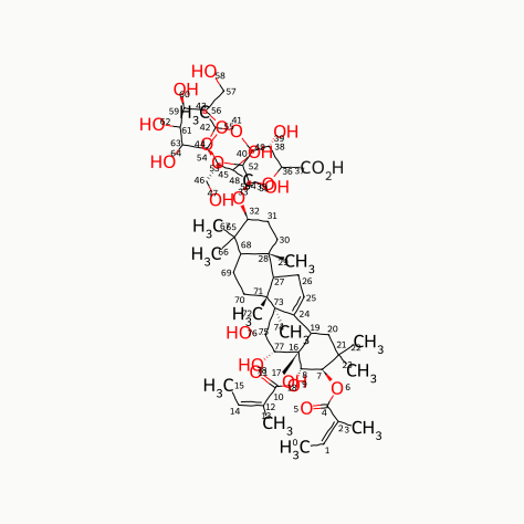 C/C=C(/C)C(=O)O[C@H]1[C@H](OC(=O)/C(C)=C\C)[C@@]2(CO)C(CC1(C)C)C1=CCC3[C@@]4(C)CC[C@H](O[C@@H]5OC(C(=O)O)[C@@H](O)C(OC(C)O[C@@H](CO)C(O)CO)C5O[C@@H]5OC(CO)[C@H](O)C(O)C5O)C(C)(C)C4CC[C@@]3(C)[C@]1(C)[C@@H](O)[C@H]2O